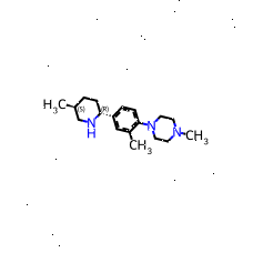 Cc1cc([C@H]2CC[C@H](C)CN2)ccc1N1CCN(C)CC1